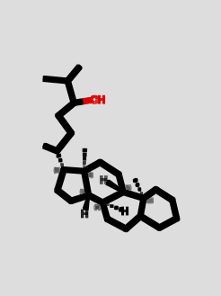 CC(C)C(O)CCC(C)[C@H]1CC[C@H]2[C@@H]3CCC4CCCC[C@]4(C)[C@H]3CC[C@]12C